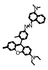 C=c1ccc2c(c1)Oc1cc(N(CC)CC)ccc1C=2c1ccc(/N=N/c2ccc(N(C)C)c3ccccc23)cc1C